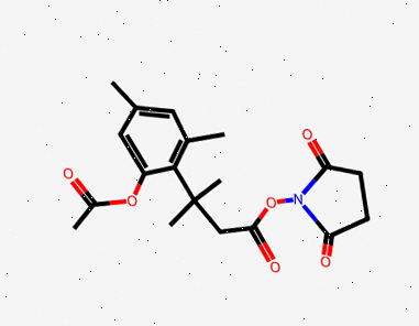 CC(=O)Oc1cc(C)cc(C)c1C(C)(C)CC(=O)ON1C(=O)CCC1=O